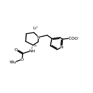 CC(C)(C)OC(=O)N[C@@H]1CCCN(Cc2ccnc(C(=O)[O-])c2)C1.[Li+]